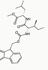 CC[C@H](C)[C@H](NC(=O)OCC1c2ccccc2-c2ccccc21)C(=O)N[C@@H](CC(C)C)C(=O)OC